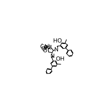 CC(=O)[O-].CC(=O)[O-].Cc1cc(-c2ccccc2)cc(C=NC2CCCC2N=Cc2cc(-c3ccccc3)cc(C)c2O)c1O.[Co+2]